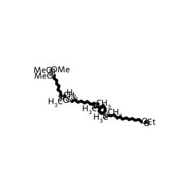 CCOOCCCCCCCCCCC[Si](C)(C)c1ccc([Si](C)(C)CCCCCCCC[SiH2]O[Si](C)(C)CCCCCCCC[Si](OC)(OC)OC)cc1